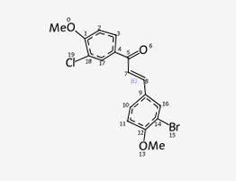 COc1ccc(C(=O)/C=C/c2ccc(OC)c(Br)c2)cc1Cl